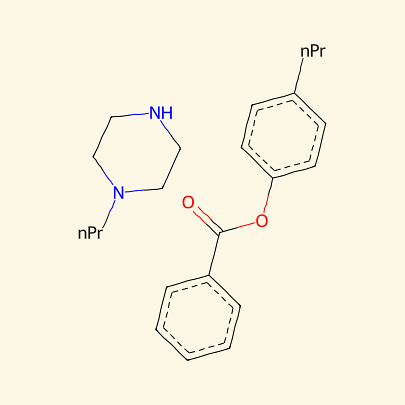 CCCN1CCNCC1.CCCc1ccc(OC(=O)c2ccccc2)cc1